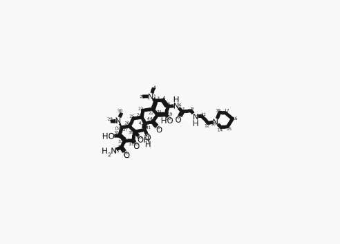 CN(C)c1cc(NC(=O)CNCCN2CCCCC2)c(O)c2c1CC1CC3[C@H](N(C)C)C(O)=C(C(N)=O)C(=O)C3(O)C(O)=C1C2=O